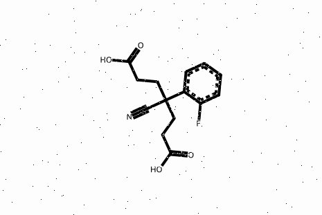 N#CC(CCC(=O)O)(CCC(=O)O)c1ccccc1F